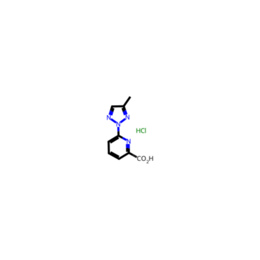 Cc1cnn(-c2cccc(C(=O)O)n2)n1.Cl